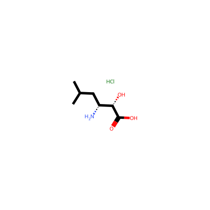 CC(C)C[C@@H](N)[C@H](O)C(=O)O.Cl